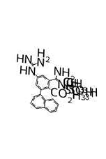 CS(=O)(=O)O.CS(=O)(=O)O.N=C(N)Nc1cc(C(=N)N)c(C(=O)O)c(-c2cccc3ccccc23)c1